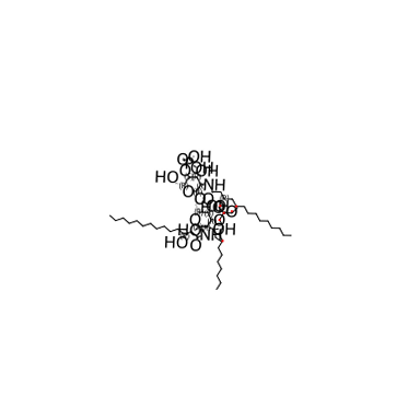 CCCCCCCCCCCC(=O)O[C@H](CCCCCCCCCCC)CC(=O)N[C@H]1[C@H](OC[C@H]2O[C@H](O)[C@@](NC(=O)C[C@H](O)CCCCCCCCCCC)(C(O)CC)[C@@H](OC(O)CC)[C@@H]2O)O[C@H](CO)[C@@H](OP(=O)(O)O)[C@@H]1O